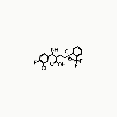 N=C(c1ccc(F)c(Cl)c1)C(CCS(=O)(=O)c1ccccc1C(F)(F)F)C(=O)O